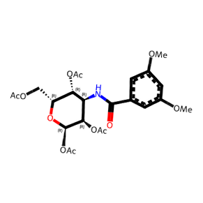 COc1cc(OC)cc(C(=O)N[C@@H]2[C@@H](OC(C)=O)[C@@H](COC(C)=O)O[C@H](OC(C)=O)[C@@H]2OC(C)=O)c1